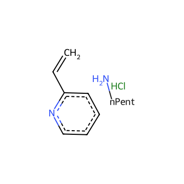 C=Cc1ccccn1.CCCCCN.Cl